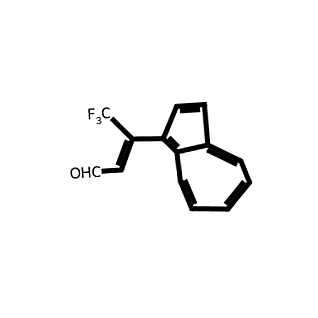 O=CC=C(c1ccc2cccccc1-2)C(F)(F)F